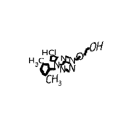 Cc1ccc(C)c(CN(c2ncnc3c2ncn3COCCO)C2CCCC2)c1.Cl